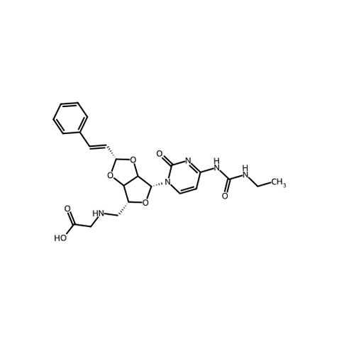 CCNC(=O)Nc1ccn([C@@H]2O[C@H](CNCC(=O)O)C3O[C@H](/C=C/c4ccccc4)OC32)c(=O)n1